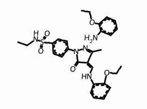 CCNS(=O)(=O)c1ccc(N2N=C(C)C(=CNc3ccccc3OCC)C2=O)cc1.CCOc1ccccc1N